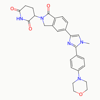 Cn1cc(-c2ccc3c(c2)CN(C2CCC(=O)NC2=O)C3=O)nc1-c1ccc(N2CCOCC2)cc1